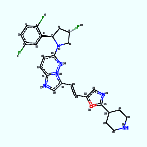 Fc1ccc(F)c([C@H]2C[C@H](F)CN2c2ccc3ncc(/C=C/c4cnc(C5CCNCC5)o4)n3n2)c1